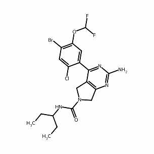 CCC(CC)NC(=O)N1Cc2nc(N)nc(-c3cc(OC(F)F)c(Br)cc3Cl)c2C1